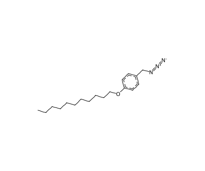 CCCCCCCCCCCOc1ccc(CN=[N+]=[N-])cc1